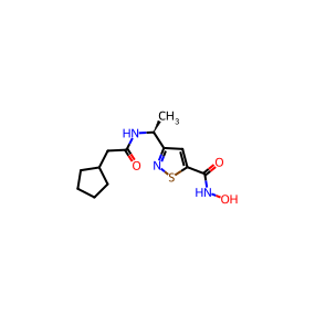 C[C@H](NC(=O)CC1CCCC1)c1cc(C(=O)NO)sn1